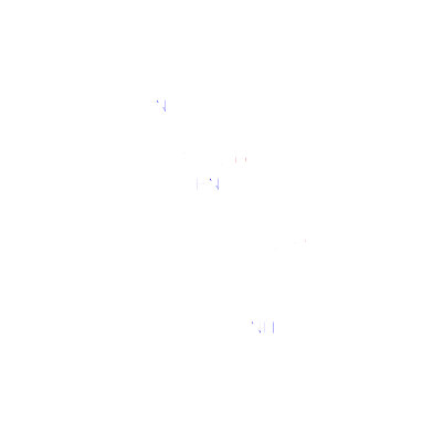 CC(=O)Nc1ccc(C(=O)c2ccc(NC(=O)c3ccc4c(ccn4C)c3)cc2)cc1